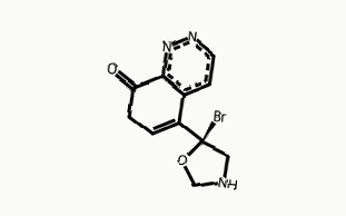 O=C1CC=C([C@]2(Br)CNCO2)c2ccnnc21